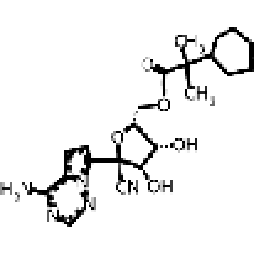 CC(C)(C(=O)OC[C@H]1O[C@@](C#N)(c2ccc3c(N)ncnn23)[C@H](O)[C@H]1O)C1CCCCC1